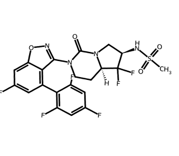 CS(=O)(=O)N[C@@H]1CN2C(=O)N(c3noc4cc(F)cc(-c5c(F)cc(F)cc5F)c34)CC[C@@H]2C1(F)F